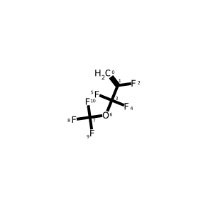 C=C(F)C(F)(F)OC(F)(F)F